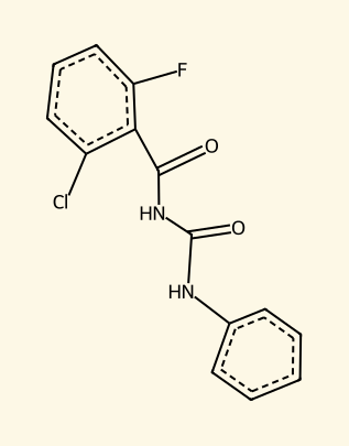 O=C(NC(=O)c1c(F)cccc1Cl)Nc1ccccc1